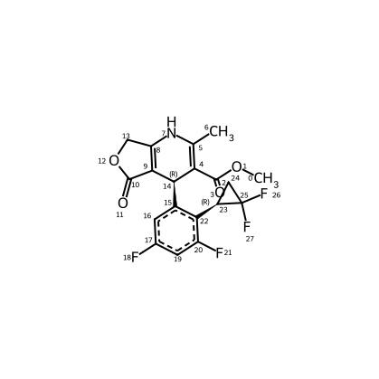 COC(=O)C1=C(C)NC2=C(C(=O)OC2)[C@@H]1c1cc(F)cc(F)c1[C@H]1CC1(F)F